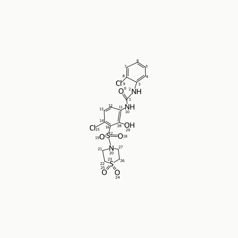 O=C(Nc1ccccc1Cl)Nc1ccc(Cl)c(S(=O)(=O)N2CCS(=O)(=O)CC2)c1O